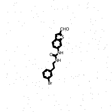 O=Cc1cc2ccc(NC(=O)NCCc3cccc(Br)c3)cc2s1